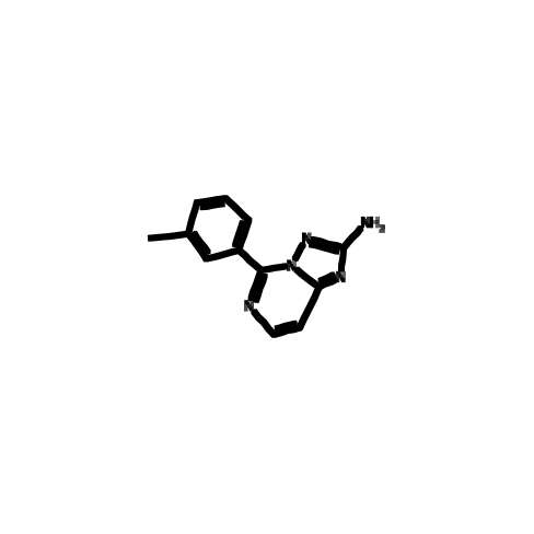 Cc1cccc(-c2nccc3nc(N)nn23)c1